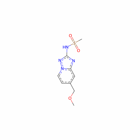 COCc1ccn2nc(NS(C)(=O)=O)nc2c1